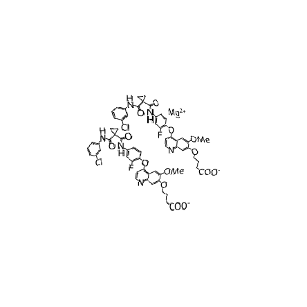 COc1cc2c(Oc3ccc(NC(=O)C4(C(=O)Nc5cccc(Cl)c5)CC4)cc3F)ccnc2cc1OCCCC(=O)[O-].COc1cc2c(Oc3ccc(NC(=O)C4(C(=O)Nc5cccc(Cl)c5)CC4)cc3F)ccnc2cc1OCCCC(=O)[O-].[Mg+2]